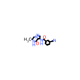 CC1Cn2ncc(NC(=O)c3cccc(C#N)c3)c2C(=O)N1